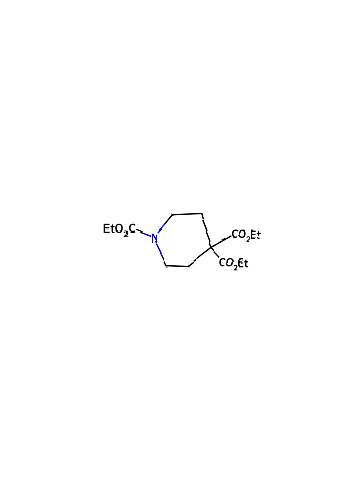 CCOC(=O)N1CCC(C(=O)OCC)(C(=O)OCC)CC1